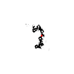 COC(=O)N[C@@H](C(=O)N1CCC[C@H]1c1nc2cc(-c3cnc(-c4cccc(NC(=O)[C@@H]5CCCN5C(=O)[C@H](NC(=O)O)c5ccccc5)c4C)o3)ccc2[nH]1)c1ccccc1